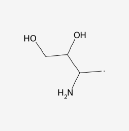 [CH2]C(N)C(O)CO